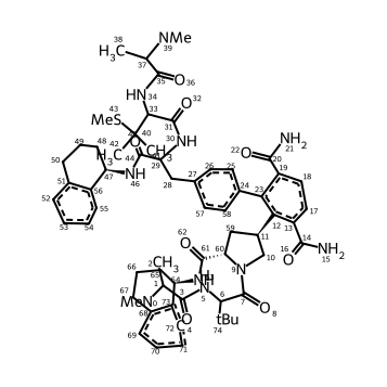 CNC(C)C(=O)NC(C(=O)N1C[C@H](c2c(C(N)=O)ccc(C(N)=O)c2-c2ccc(CC(NC(=O)C(NC(=O)C(C)NC)C(C)(C)SC)C(=O)N[C@@H]3CCCc4ccccc43)cc2)C[C@H]1C(=O)N[C@@H]1CCCc2ccccc21)C(C)(C)C